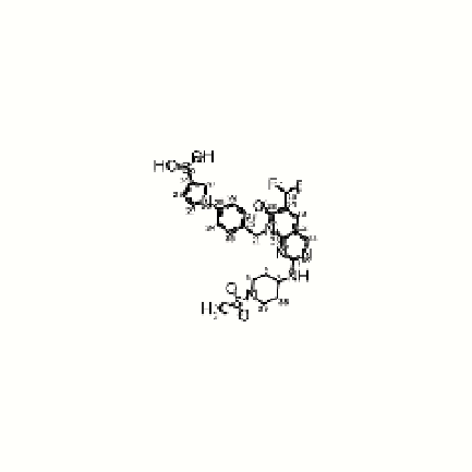 CS(=O)(=O)N1CCC(Nc2ncc3cc(C(F)F)c(=O)n(Cc4ccc(-n5ccc(B(O)O)c5)cc4)c3n2)CC1